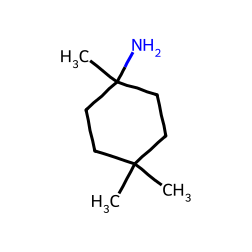 CC1(C)CCC(C)(N)CC1